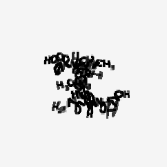 CC(C)C[C@H](NC(=O)CNC(=O)[C@H](CC(C)C)NC(=O)[C@H](CCC(N)=O)NC(=O)CNC(=O)[C@@H]1C[C@@H](O)CN1)C(=O)N[C@@H](C)C(=O)NCC(=O)N1CCC[C@H]1C(=O)O